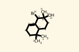 CC1(C)CCC=C2C1CCC(C)(O)C2Br